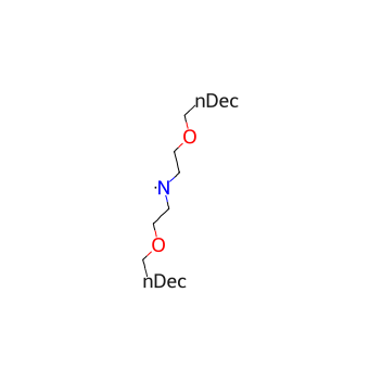 CCCCCCCCCCCOCC[N]CCOCCCCCCCCCCC